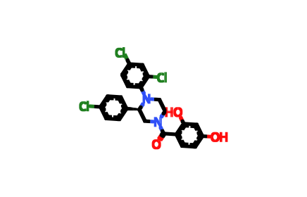 O=C(c1ccc(O)cc1O)N1CCN(c2ccc(Cl)cc2Cl)[C@H](c2ccc(Cl)cc2)C1